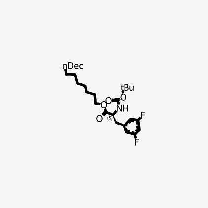 CCCCCCCCCCCCCCCCCOC(=O)[C@H](Cc1cc(F)cc(F)c1)NC(=O)OC(C)(C)C